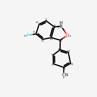 N#Cc1ccc(C2OBc3ccc(F)cc32)cc1